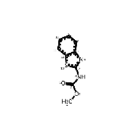 COC(=O)Nc1nc2c[c]ccc2s1